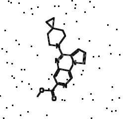 COC(=O)c1cc2nc(N3CCC4(CC3)CC4)c3cccn3c2cn1